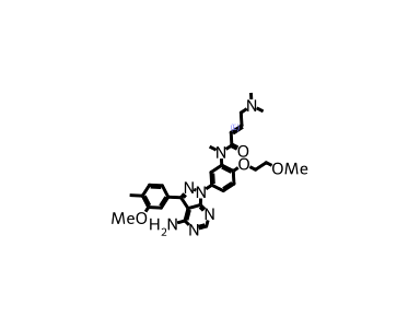 COCCOc1ccc(-n2nc(-c3ccc(C)c(OC)c3)c3c(N)ncnc32)cc1N(C)C(=O)/C=C/CN(C)C